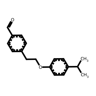 CC(C)c1ccc(OCCc2ccc(C=O)cc2)cc1